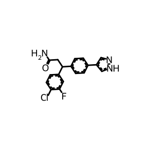 NC(=O)CC(c1ccc(-c2cn[nH]c2)cc1)c1ccc(Cl)c(F)c1